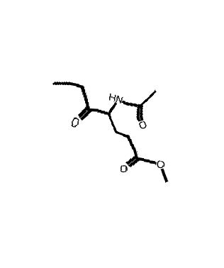 CCC(=O)C(CCC(=O)OC)NC(C)=O